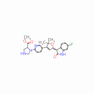 COC(=O)C1CNCN1c1ccc(C2=C/C(=C3\C(=O)Nc4cc(F)ccc43)OC2(C)C)cn1